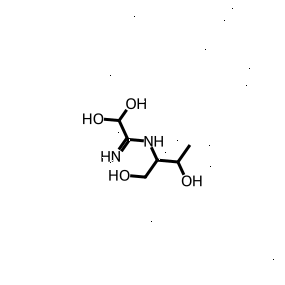 CC(O)C(CO)NC(=N)C(O)O